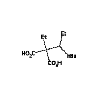 CCCCC(CC)C(CC)(C(=O)O)C(=O)O